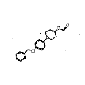 O=COC1CCC(c2ccc(OCc3ccccc3)cc2)CC1